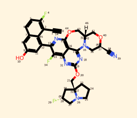 C#Cc1c(F)ccc2cc(O)cc(-c3nc4c5c(nc(OC[C@@]67CCCN6C[C@H](F)C7)nc5c3F)N3C[C@H](C#N)OC[C@H]3CO4)c12